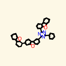 C1=Cc2c(oc3ccccc23)C(c2ccc3c(c2)oc2ccc(-c4nc(-c5ccccc5)nc(-c5cccc6c5oc5ccccc56)n4)cc23)C1